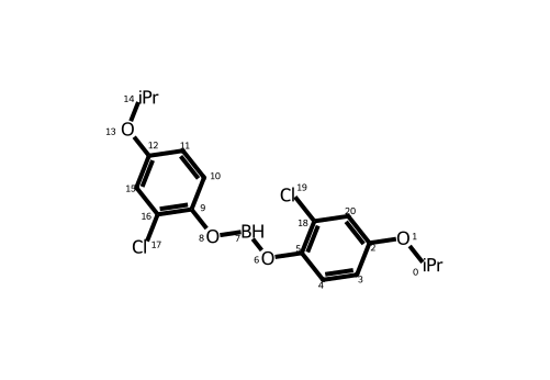 CC(C)Oc1ccc(OBOc2ccc(OC(C)C)cc2Cl)c(Cl)c1